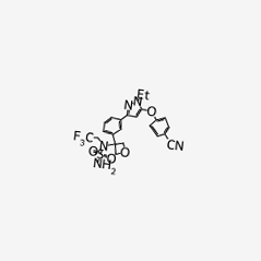 CCn1nc(-c2cccc(C3(N(CC(F)(F)F)S(N)(=O)=O)COC3)c2)cc1Oc1ccc(C#N)cc1